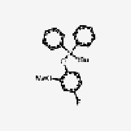 COc1cc(F)ccc1O[Si](c1ccccc1)(c1ccccc1)C(C)(C)C